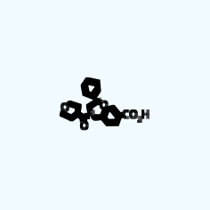 O=C(O)c1ccc2c(c1)O[C@@H](c1ccccc1)CN(C(=O)C1CCOCC1)C2